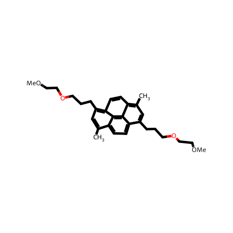 COCCOCCCc1cc(C)c2ccc3c(CCCOCCOC)cc(C)c4ccc1c2c43